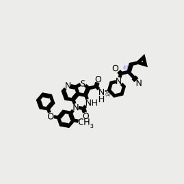 Cc1ccc(Oc2ccccc2)cc1N1C(=O)Nc2c(C(=O)N[C@H]3CCCN(C(=O)/C(C#N)=C/C4CC4)C3)sc3nccc1c23